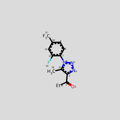 CCC(=O)c1nnn(-c2ccc(C(F)(F)F)cc2F)c1C